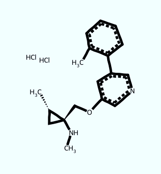 CN[C@]1(COc2cncc(-c3ccccc3C)c2)C[C@@H]1C.Cl.Cl